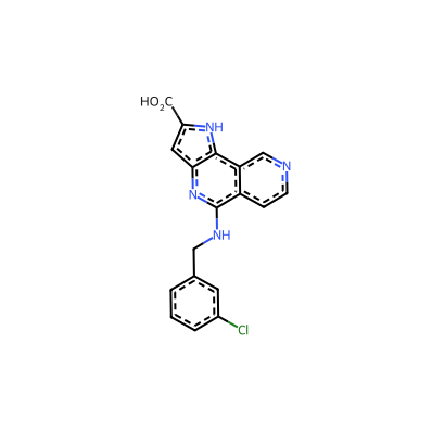 O=C(O)c1cc2nc(NCc3cccc(Cl)c3)c3ccncc3c2[nH]1